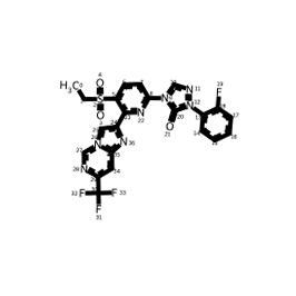 CCS(=O)(=O)c1ccc(-n2cnn(-c3ccccc3F)c2=O)nc1-c1cn2cnc(C(F)(F)F)cc2n1